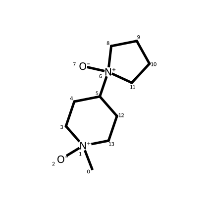 C[N+]1([O-])CCC([N+]2([O-])CCCC2)CC1